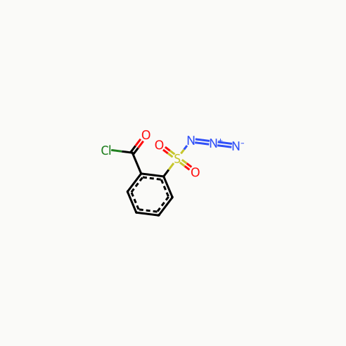 [N-]=[N+]=NS(=O)(=O)c1ccccc1C(=O)Cl